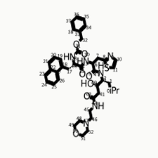 CC(C)C[C@H](NC(=O)C(Cc1nccs1)NC(=O)[C@H](Cc1cccc2ccccc12)NC(=O)OCc1ccccc1)[C@@H](O)CC(=O)NCCN1CCOCC1